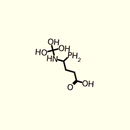 O=C(O)CCC(P)NC(O)(O)O